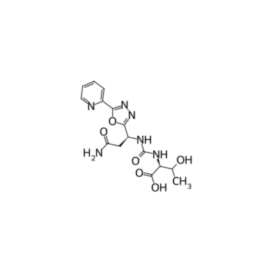 CC(O)[C@H](NC(=O)N[C@@H](CC(N)=O)c1nnc(-c2ccccn2)o1)C(=O)O